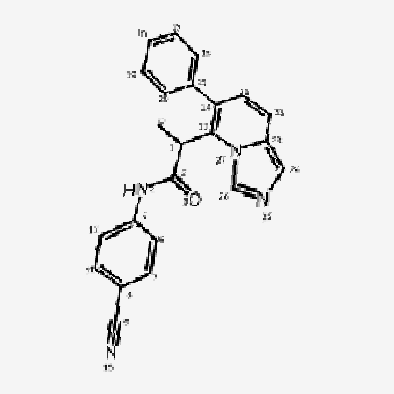 CC(C(=O)Nc1ccc(C#N)cc1)c1c(-c2ccccc2)ccc2cncn12